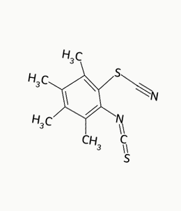 Cc1c(C)c(C)c(SC#N)c(N=C=S)c1C